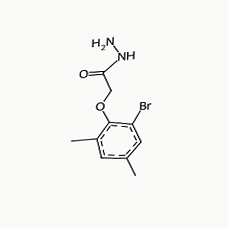 Cc1cc(C)c(OCC(=O)NN)c(Br)c1